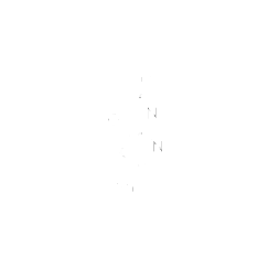 CN1C(=O)COc2c[c]([Sn]([CH3])([CH3])[CH3])cnc21